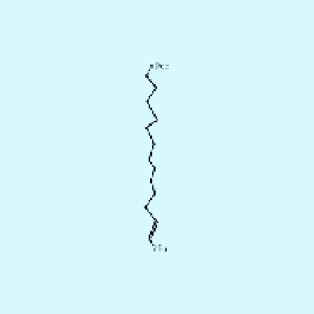 [CH2]CCCC=CCCCCCCCCCCCCCCCCCCCC[CH2]